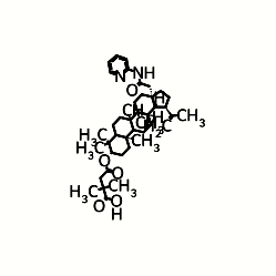 C=C(C)[C@@H]1CC[C@]2(CC(=O)Nc3ccccn3)CC[C@]3(C)[C@H](CCC4[C@@]5(C)CC[C@H](OC(=O)CC(C)(C)C(=O)O)C(C)(C)C5CC[C@]43C)[C@@H]12